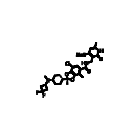 CSc1cc(C)[nH]c(=O)c1CNC(=O)c1cc(Cl)c2c(c1C)O[C@](C)([C@H]1CC[C@@H](N(C)C3CC(F)(F)C3)CC1)O2